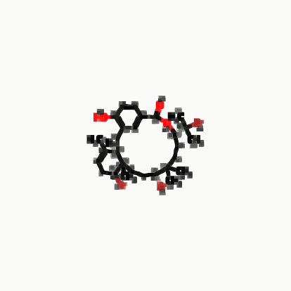 CC1=CC[C@H](Br)[C@@]2(C)CC[C@@H](Br)C(C)(C)CC[C@@H](C(C)(C)Br)OC(=O)c3ccc(O)c(c3)C[C@H]12